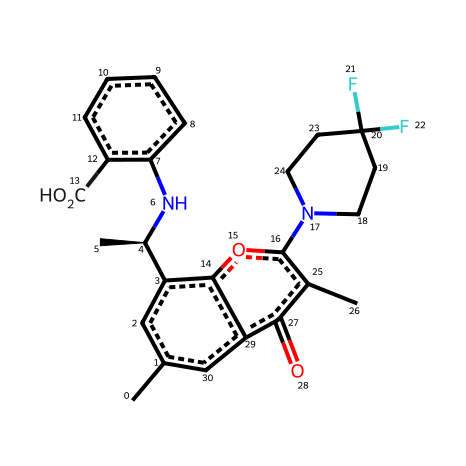 Cc1cc([C@@H](C)Nc2ccccc2C(=O)O)c2oc(N3CCC(F)(F)CC3)c(C)c(=O)c2c1